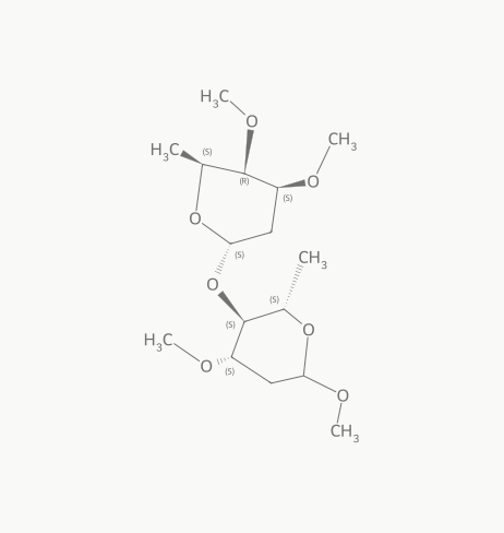 COC1C[C@H](OC)[C@@H](O[C@H]2C[C@H](OC)[C@H](OC)[C@H](C)O2)[C@H](C)O1